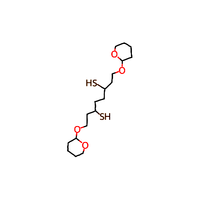 SC(CCOC1CCCCO1)CCC(S)CCOC1CCCCO1